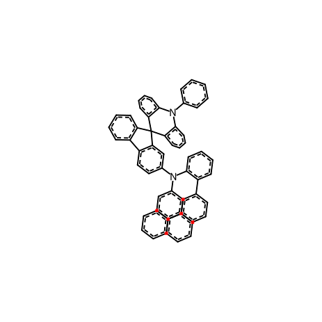 c1ccc(-c2cccc(-c3ccccc3N(c3ccc4c(c3)C3(c5ccccc5-4)c4ccccc4N(c4ccccc4)c4ccccc43)c3ccc4ccccc4c3)c2)cc1